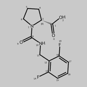 O=C(O)[C@H]1CCCN1C(=O)NCc1c(F)cccc1F